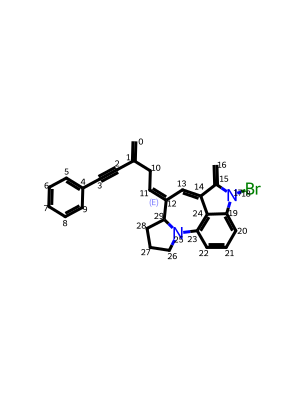 C=C(C#Cc1ccccc1)C/C=C1\C=c2c(=C)n(Br)c3cccc(c23)N2CCCC12